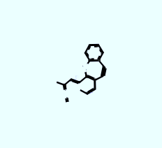 C=C=C(C)/C=C/C1=C(/C=C\C)C#Cc2ccccc2N1